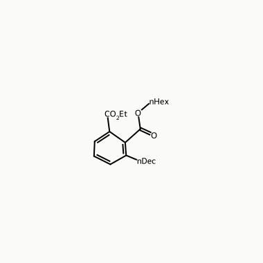 CCCCCCCCCCc1cccc(C(=O)OCC)c1C(=O)OCCCCCC